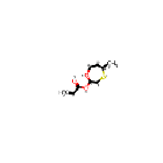 C=CC(=O)OC1CSC(C)CCO1